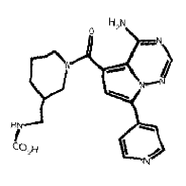 Nc1ncnn2c(-c3ccncc3)cc(C(=O)N3CCCC(CNC(=O)O)C3)c12